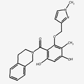 Cc1c(O)cc(O)c(C(=O)N2CCc3ccccc3C2)c1OCc1ccn(C)n1